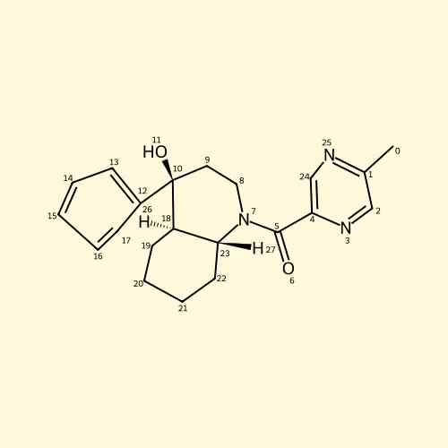 Cc1cnc(C(=O)N2CC[C@@](O)(c3ccccc3)[C@@H]3CCCC[C@H]32)cn1